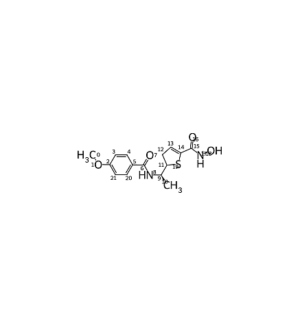 COc1ccc(C(=O)N[C@H](C)C2CC=C(C(=O)NO)S2)cc1